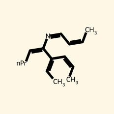 C\C=C/C=N\C(=C\CCC)C(\C=C/C)=C\C